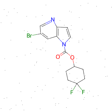 O=C(OC1CCC(F)(F)CC1)n1ccc2ncc(Br)cc21